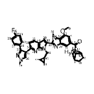 COc1cc(C(=O)N2CC3CCC2[C@@H]3N)cc2nc(-c3cc4ccc(-c5cn(C)nc5-c5ccc(F)cc5)nc4n3CC3CC3)n(C)c12